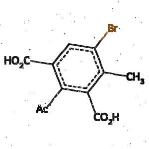 CC(=O)c1c(C(=O)O)cc(Br)c(C)c1C(=O)O